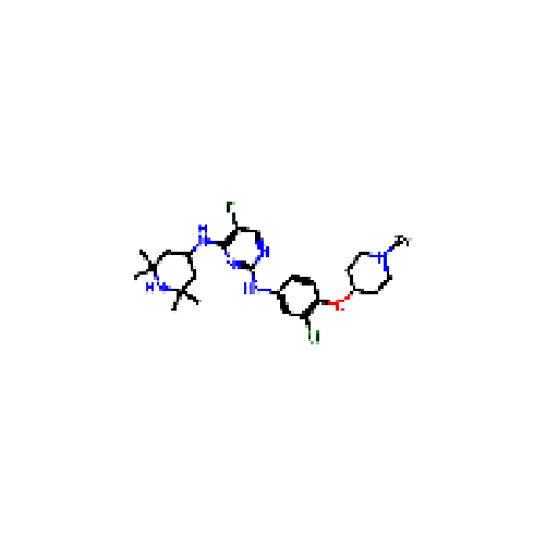 CC(C)N1CCC(Oc2ccc(Nc3ncc(F)c(NC4CC(C)(C)NC(C)(C)C4)n3)cc2Cl)CC1